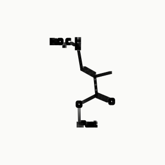 CCCCCOC(=O)C(C)=CNC(=O)OCC